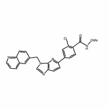 CONC(=O)c1ccc(-c2ccc3ncn(Cc4ccc5ncccc5c4)c3n2)cc1Cl